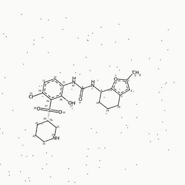 Cc1cc2c(o1)C(NC(=O)Nc1ccc(Cl)c(S(=O)(=O)[C@H]3CCCNC3)c1O)CCC2